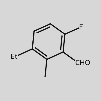 CCc1ccc(F)c(C=O)c1C